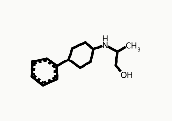 CC(CO)NC1CCC(c2ccccc2)CC1